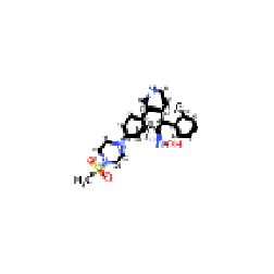 C/C(=N/O)C(c1ccccc1C)c1ccncc1-c1ccc(N2CCN(S(C)(=O)=O)CC2)cc1